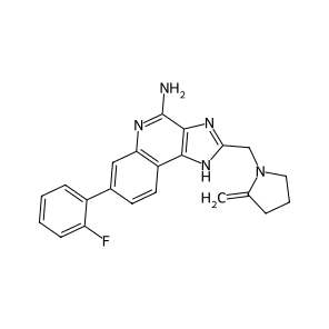 C=C1CCCN1Cc1nc2c(N)nc3cc(-c4ccccc4F)ccc3c2[nH]1